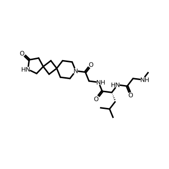 CNCC(=O)N[C@H](CC(C)C)C(=O)NCC(=O)N1CCC2(CC1)CC1(CNC(=O)C1)C2